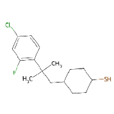 CC(C)(CC1CCC(S)CC1)c1ccc(Cl)cc1F